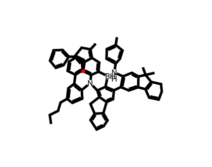 CCCCc1ccc(N2c3cc4c(cc3Bc3c(-c5cc6c(cc5Nc5ccc(C)cc5)C(C)(C)C5=C6C=CCC5)cc5c(c32)Cc2ccccc2-5)=C(C)CC=4c2ccccc2)c(-c2ccccc2)c1